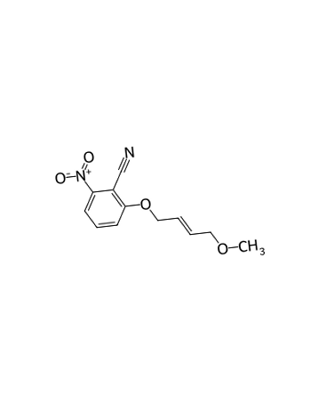 COC/C=C/COc1cccc([N+](=O)[O-])c1C#N